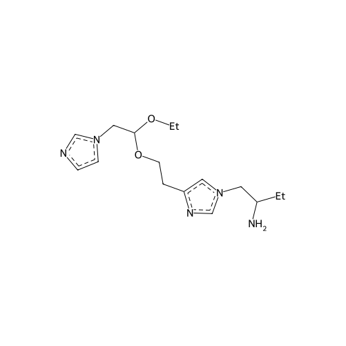 CCOC(Cn1ccnc1)OCCc1cn(CC(N)CC)cn1